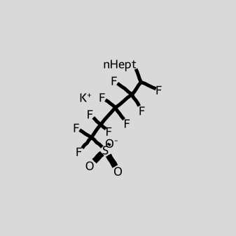 CCCCCCCC(F)C(F)(F)C(F)(F)C(F)(F)C(F)(F)S(=O)(=O)[O-].[K+]